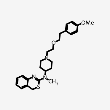 COc1ccc(CCOCCN2CCC(N(C)C3=Nc4ccccc4CS3)CC2)cc1